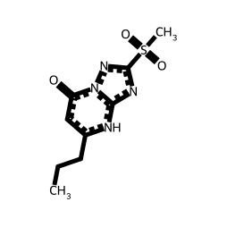 CCCc1cc(=O)n2nc(S(C)(=O)=O)nc2[nH]1